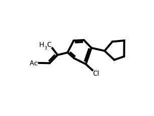 CC(=O)C=C(C)c1ccc(C2CCCC2)c(Cl)c1